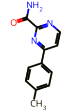 Cc1ccc(-c2ccnc(C(N)=O)n2)cc1